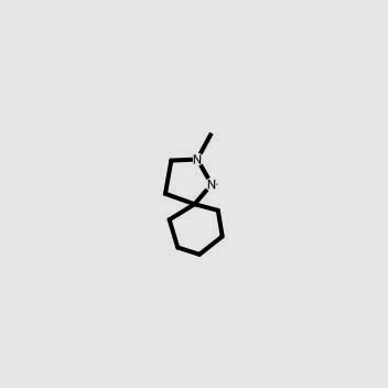 CN1CCC2(CCCCC2)[N]1